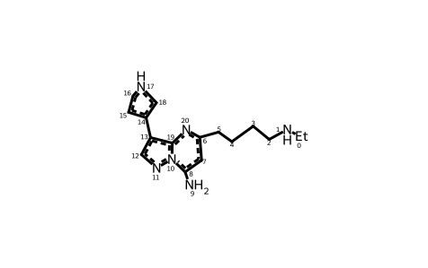 CCNCCCCc1cc(N)n2ncc(-c3cc[nH]c3)c2n1